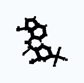 C[C@H](Nc1ncnc2scc(Cl)c12)c1ccc(C(F)(F)F)cc1S